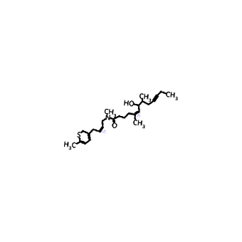 CCC#CCC(C)C(O)/C=C(/C)CCCC(=O)N(C)C/C=C\CC1=CC=C(C)SC1